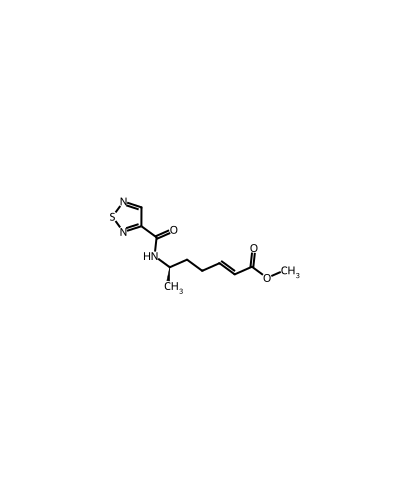 COC(=O)/C=C/CC[C@@H](C)NC(=O)c1cnsn1